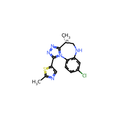 Cc1ncc(-c2nnc3n2-c2ccc(Cl)cc2NC[C@H]3C)s1